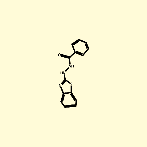 O=C(NNc1nc2ccccc2s1)c1ccccc1